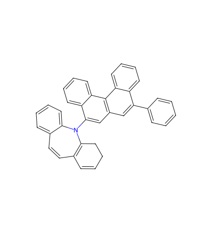 C1=CC2=C(CC1)N(c1cc3cc(-c4ccccc4)c4ccccc4c3c3ccccc13)c1ccccc1C=C2